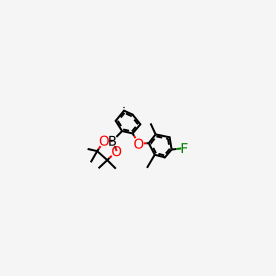 Cc1cc(F)cc(C)c1Oc1cc[c]cc1B1OC(C)(C)C(C)(C)O1